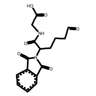 O=CCCCC(C(=O)NCC(=O)O)N1C(=O)c2ccccc2C1=O